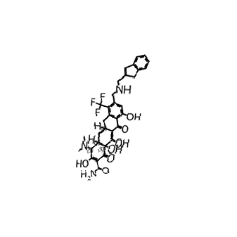 CN(C)[C@@H]1C(O)=C(C(N)=O)C(=O)[C@@]2(O)C(O)=C3C(=O)c4c(O)cc(CNCC5Cc6ccccc6C5)c(C(F)(F)F)c4C[C@H]3C[C@@H]12